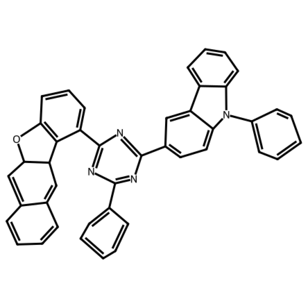 C1=c2ccccc2=CC2c3c(cccc3-c3nc(-c4ccccc4)nc(-c4ccc5c(c4)c4ccccc4n5-c4ccccc4)n3)OC12